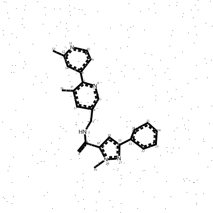 C=C(NCc1cnc(-c2ccnc(C)c2)c(C)c1)c1cc(-c2ccccc2)nn1C